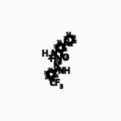 N=C(/N=C/NC(=O)c1cc(N2CCCCC2)ccc1N)c1cccc(C(F)(F)F)c1